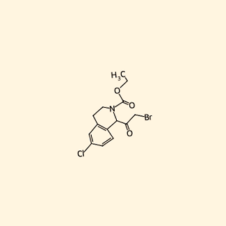 CCOC(=O)N1CCc2cc(Cl)ccc2C1C(=O)CBr